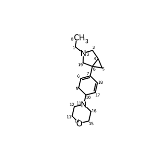 CCN1CC2CC2(C2=CCC(N3CCOCC3)C=C2)C1